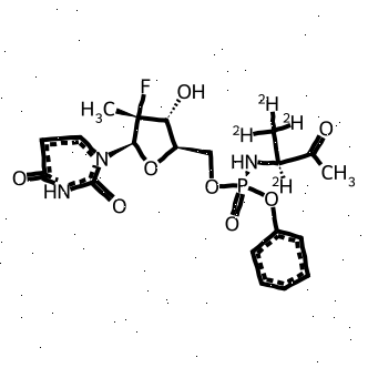 [2H]C([2H])([2H])[C@]([2H])(N[P@](=O)(OC[C@H]1O[C@@H](n2ccc(=O)[nH]c2=O)[C@](C)(F)[C@@H]1O)Oc1ccccc1)C(C)=O